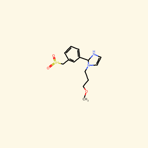 COCCCN1C=CNC1c1cccc(C[SH](=O)=O)c1